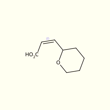 O=C(O)/C=C\C1CCCCO1